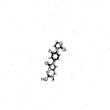 CN(C[C@@H]1CN(c2ccc(N3CCOC3=O)c(F)c2)C(=O)O1)C(O)=S